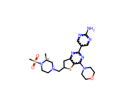 C[C@H]1CN(CC2Cc3nc(-c4cnc(N)nc4)nc(N4CCOCC4)c3S2)CCN1S(C)(=O)=O